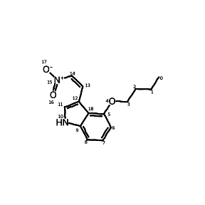 CCCCOc1cccc2[nH]cc(/C=C\[N+](=O)[O-])c12